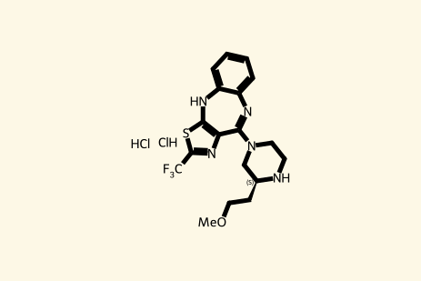 COCC[C@H]1CN(C2=Nc3ccccc3Nc3sc(C(F)(F)F)nc32)CCN1.Cl.Cl